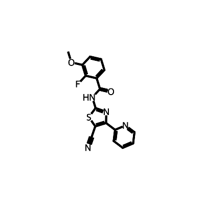 COc1cccc(C(=O)Nc2nc(-c3ccccn3)c(C#N)s2)c1F